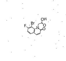 O=C(O)Cn1c(=O)ccc2ccc(F)c(Br)c21